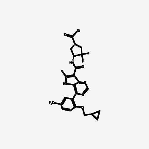 CCC(=O)N1C[C@@H](NC(=O)c2c(C)[nH]c3c(-c4cc(C(F)(F)F)ccc4OCC4CC4)ncnc23)C(F)(F)C1